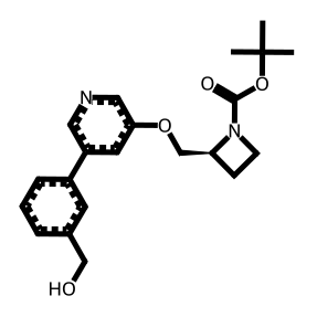 CC(C)(C)OC(=O)N1CC[C@H]1COc1cncc(-c2cccc(CO)c2)c1